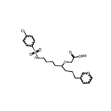 COC(=O)COC(CCCCNS(=O)(=O)c1ccc(Cl)cc1)CCCc1cccnc1